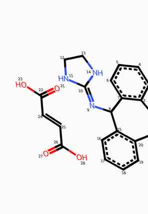 C1=Cc2ccccc2C(N=C2NCCN2)c2ccccc21.O=C(O)C=CC(=O)O